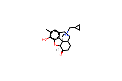 Cc1cc2c3c(c1O)O[C@@H]1C(=O)CCC4C(C2)N(CC2CC2)CC[C@]341